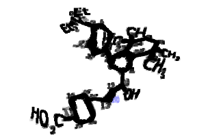 CCN(CC)c1ccc(-c2cc(C(O)/C=C/c3ccc(C(=O)O)cc3)cc3c2C(C)(C)CCC3(C)C)cc1